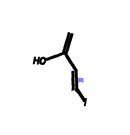 C=C(O)/C=C/I